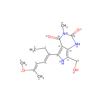 CC/C(=C\C=C(/C)OC)c1[nH]c(CO)c2[nH]c(=O)n(C)c(=O)c12